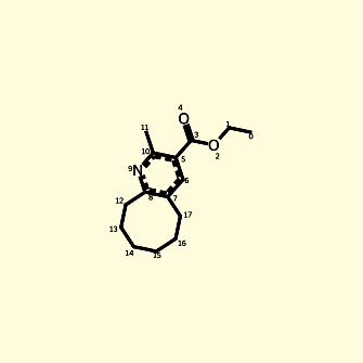 CCOC(=O)c1cc2c(nc1C)CCCCCC2